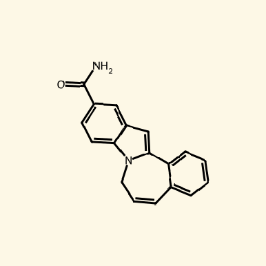 NC(=O)c1ccc2c(c1)cc1n2CC=Cc2ccccc2-1